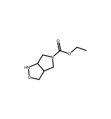 CCOC(=O)N1CC2CONC2C1